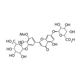 COc1cc(-c2cc(=O)c3c(O)cc(O[C@@H]4OC(C(=O)O)[C@@H](O)C(O)C4O)cc3o2)cc(O[C@@H]2OC(C(=O)O)[C@@H](O)C(O)C2O)c1O